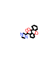 O=C(c1cnccn1)c1cccc2oc3ccccc3c(=O)c12